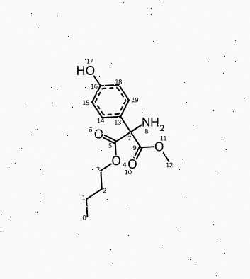 CCCCOC(=O)C(N)(C(=O)OC)c1ccc(O)cc1